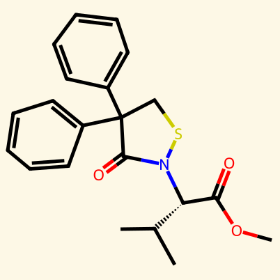 COC(=O)[C@H](C(C)C)N1SCC(c2ccccc2)(c2ccccc2)C1=O